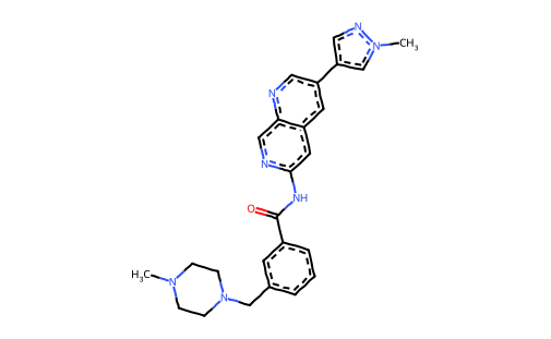 CN1CCN(Cc2cccc(C(=O)Nc3cc4cc(-c5cnn(C)c5)cnc4cn3)c2)CC1